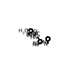 Cn1ccc([O-])c(NC(=O)N[C@@H](CC(=O)[O-])c2cccc(-n3ncc4ccccc43)c2)c1=O.[Na+].[Na+]